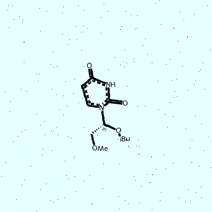 CCC(C)O[C@H](COC)n1ccc(=O)[nH]c1=O